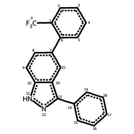 FC(F)(F)c1ccccc1-c1ccc2[nH]nc(-c3ccccc3)c2c1